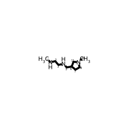 CNCCNCC1CCN(C)C1